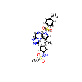 CCCCS(=O)(=O)N[C@H]1C[C@@H](C)[C@@H](c2nnc3cnc4c(ccn4S(=O)(=O)c4ccc(C)cc4)n23)C1